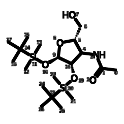 CC(=O)NC1[C@@H](CO)O[C@H](O[Si](C)(C)C(C)(C)C)[C@H]1O[Si](C)(C)C(C)(C)C